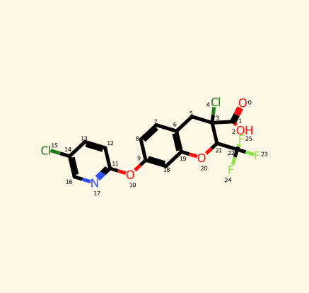 O=C(O)C1(Cl)Cc2ccc(Oc3ccc(Cl)cn3)cc2OC1C(F)(F)F